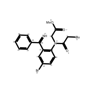 CCC(C)CC(=O)N(CC(=O)OC)c1ccc(Br)cc1C(=N)c1ccccc1